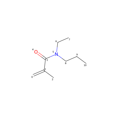 C=C(C)C(=O)N(CC)CCC